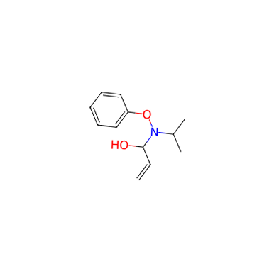 C=CC(O)N(Oc1ccccc1)C(C)C